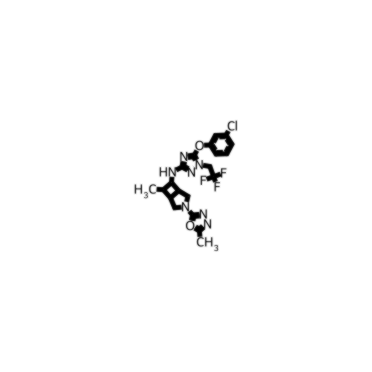 Cc1nnc(N2CC3C(C)C(Nc4nc(Oc5cccc(Cl)c5)n(CC(F)(F)F)n4)C3C2)o1